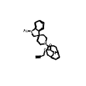 C#CCOC(=O)N1C2CCC(N3CCC4(CC3)CN(C(C)=O)c3ccccc34)CCC1CC2